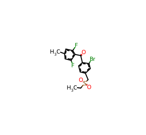 CCS(=O)(=O)Cc1ccc(C(=O)c2c(F)cc(C)cc2F)c(Br)c1